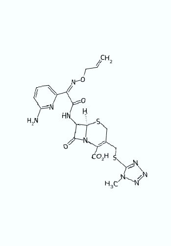 C=CCO/N=C(\C(=O)NC1C(=O)N2C(C(=O)O)=C(CSc3nnnn3C)CS[C@H]12)c1cccc(N)n1